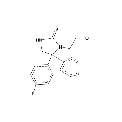 OCCN1C(=S)NCC1(c1ccccc1)c1ccc(F)cc1